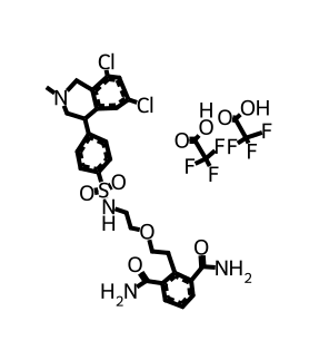 CN1Cc2c(Cl)cc(Cl)cc2C(c2ccc(S(=O)(=O)NCCOCCc3c(C(N)=O)cccc3C(N)=O)cc2)C1.O=C(O)C(F)(F)F.O=C(O)C(F)(F)F